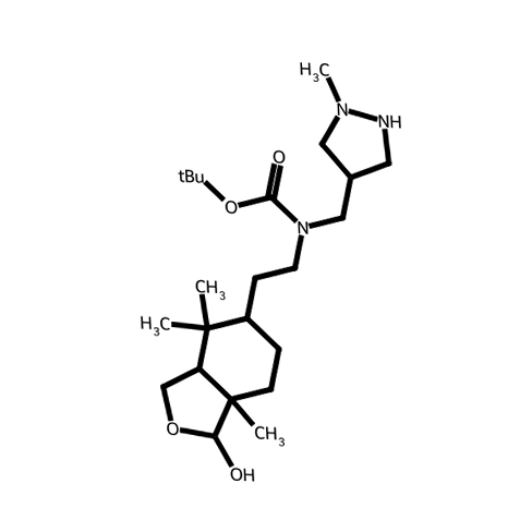 CN1CC(CN(CCC2CCC3(C)C(O)OCC3C2(C)C)C(=O)OC(C)(C)C)CN1